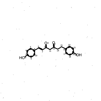 O=C(C=Cc1ccc(O)cc1)CC(=O)CCc1ccc(O)cc1